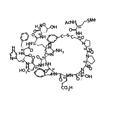 CSCC[C@H](NC(C)=O)C(=O)N[C@H]1CSCc2cccc(c2)CSC[C@@H](C(=O)N[C@@H](CC(=O)O)C(=O)N[C@@H](Cc2c[nH]cn2)C(=O)N[C@H](Cc2ccccc2)C(=O)N[C@@H](CCCNC(=N)N)C(=O)N[C@@H](CC(O)O)C(N)=O)NC(=O)[C@H](Cc2ccccc2)NC(=O)[C@H](CCC(=O)O)NC(=O)[C@H]([C@@H](C)O)NC(=O)[C@@H]2CCCN2C(=O)[C@@H]2CCCN2C1=O